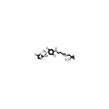 NC1(CNCCCCNc2cc(F)c([S+]([O-])Nc3ncc(F)s3)cc2Cl)CC1